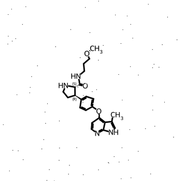 COCCCNC(=O)[C@H]1NCC[C@@H]1c1ccc(Oc2ccnc3[nH]cc(C)c23)cc1